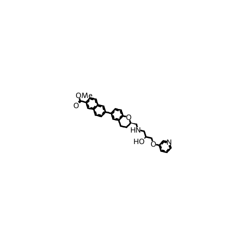 COC(=O)c1ccc2cc(-c3ccc4c(c3)CC[C@H](CNC[C@H](O)COc3cccnc3)O4)ccc2c1